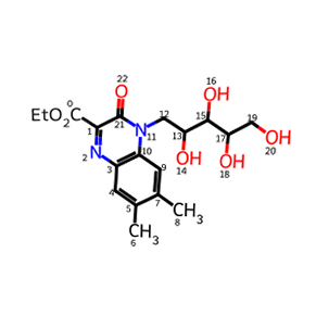 CCOC(=O)c1nc2cc(C)c(C)cc2n(CC(O)C(O)C(O)CO)c1=O